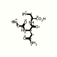 CC(C)C[C@H](NC(=O)[C@@H](CC(N)=O)NC(=O)OC(C)(C)C)C(=O)O